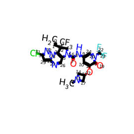 C=C[C@@]1(C(F)(F)F)CN(C(=O)Nc2cc(OC3CN(C)C3)c(=O)n(C(F)F)c2)c2cnc3cc(Cl)nn3c21